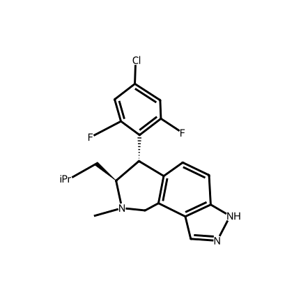 CC(C)C[C@H]1[C@H](c2c(F)cc(Cl)cc2F)c2ccc3[nH]ncc3c2CN1C